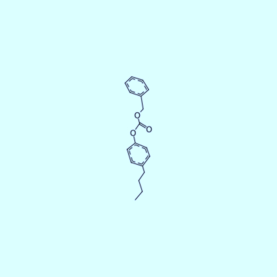 CCCCc1ccc(OC(=O)OCc2ccccc2)cc1